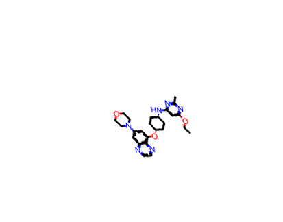 CCOc1cc(N[C@H]2CC[C@@H](Oc3cc(N4CCOCC4)cc4nccnc34)CC2)nc(C)n1